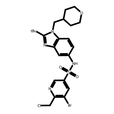 CC(C)(C)c1nc2cc(NS(=O)(=O)c3cnc(CCl)c(Br)c3)ccc2n1CC1CCOCC1